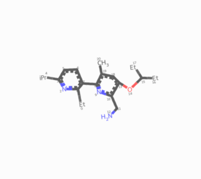 CCc1nc(C(C)C)ccc1-c1nc(CN)c(OC(CC)CC)cc1C